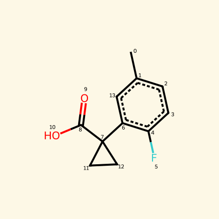 Cc1ccc(F)c(C2(C(=O)O)CC2)c1